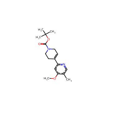 COc1cc(C2=CCN(C(=O)OC(C)(C)C)CC2)ncc1C